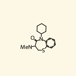 CNC1CSc2ccccc2N(C2CCCCC2)C1=O